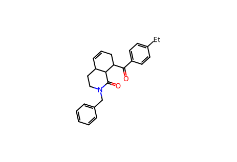 CCc1ccc(C(=O)C2CC=CC3CCN(Cc4ccccc4)C(=O)C32)cc1